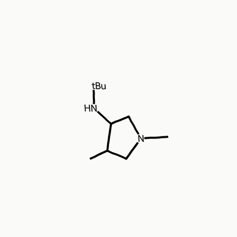 CC1CN(C)CC1NC(C)(C)C